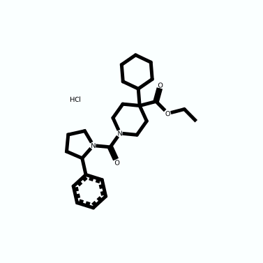 CCOC(=O)C1(C2CCCCC2)CCN(C(=O)N2CCCC2c2ccccc2)CC1.Cl